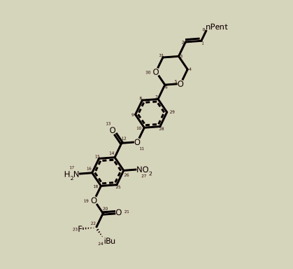 CCCCC/C=C/C1COC(c2ccc(OC(=O)c3cc(N)c(OC(=O)[C@@H](F)[C@@H](C)CC)cc3[N+](=O)[O-])cc2)OC1